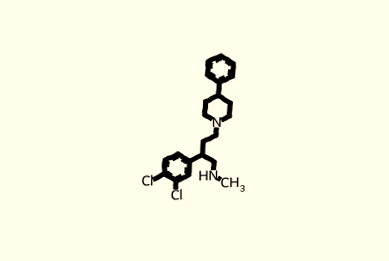 CNCC(CCN1CCC(c2ccccc2)CC1)c1ccc(Cl)c(Cl)c1